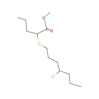 CCCC(F)CCCSC(CCC)C(=O)OC